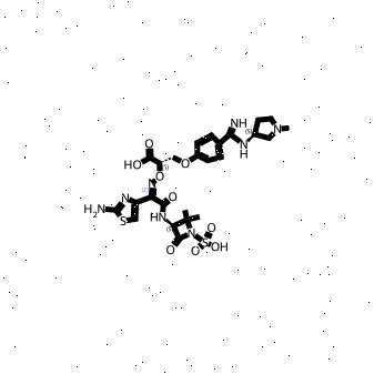 CN1CC[C@H](NC(=N)c2ccc(OC[C@H](O/N=C(\C(=O)N[C@@H]3C(=O)N(S(=O)(=O)O)C3(C)C)c3csc(N)n3)C(=O)O)cc2)C1